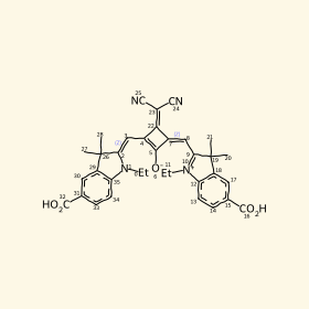 CCN1/C(=C\C2=C([O-])C(=C\C3=[N+](CC)c4ccc(C(=O)O)cc4C3(C)C)/C2=C(C#N)C#N)C(C)(C)c2cc(C(=O)O)ccc21